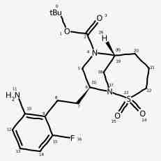 CC(C)(C)OC(=O)N1C[C@H](CCc2c(N)cccc2F)N2C[C@H]1CCCS2(=O)=O